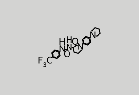 O=C(Nc1ccc(C(F)(F)F)cc1)NC1CCCN(c2ccc(N3CCCCC3)cc2)C1=O